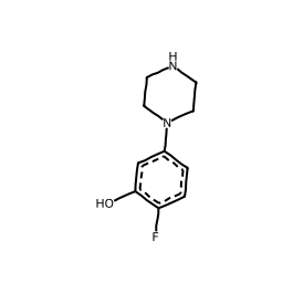 Oc1cc(N2CCNCC2)ccc1F